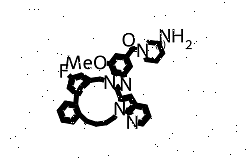 COc1cc(C(=O)N2CCC[C@@H](N)C2)cc2nc3n(c12)Cc1cc(F)cc(c1)-c1ccccc1CCCCn1c-3cc2cccnc21